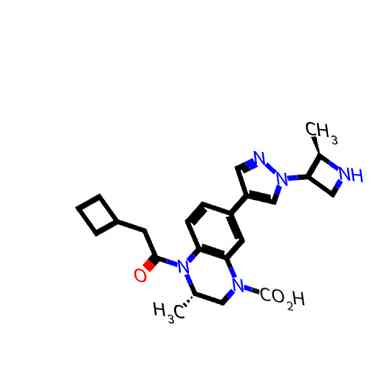 C[C@H]1NCC1n1cc(-c2ccc3c(c2)N(C(=O)O)C[C@H](C)N3C(=O)CC2CCC2)cn1